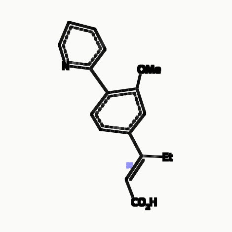 CC/C(=C\C(=O)O)c1ccc(-c2ccccn2)c(OC)c1